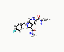 CONC(=O)c1cc2c(C(=O)NC(C)C)cn(Cc3ccc(F)cc3)c2cn1